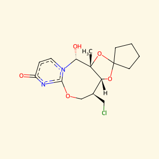 C[C@@]12OC3(CCCC3)O[C@@H]1[C@@H](CCl)COc1nc(=O)ccn1[C@@H]2O